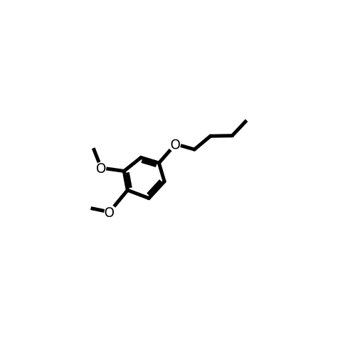 CCCCOc1ccc(OC)c(OC)c1